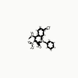 CNc1c([N+](=O)[O-])c(=O)n(-c2ccccc2)c2cc(Cl)ccc12